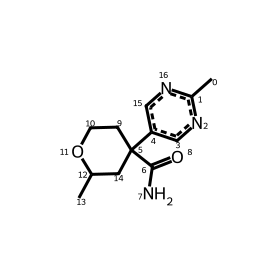 Cc1ncc(C2(C(N)=O)CCOC(C)C2)cn1